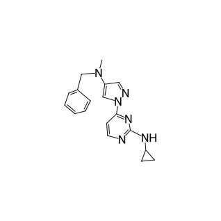 CN(Cc1ccccc1)c1cnn(-c2ccnc(NC3CC3)n2)c1